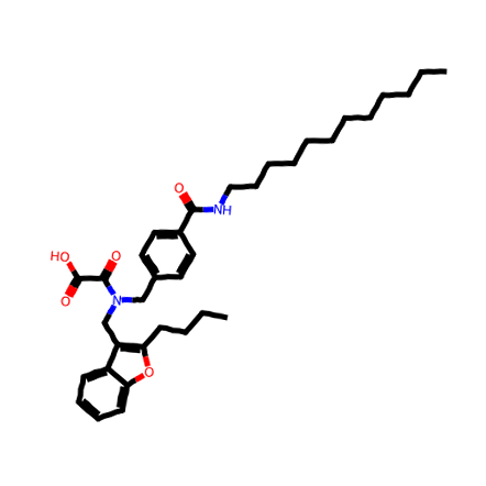 CCCCCCCCCCCCNC(=O)c1ccc(CN(Cc2c(CCCC)oc3ccccc23)C(=O)C(=O)O)cc1